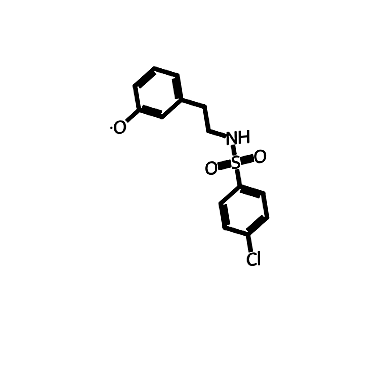 [O]c1cccc(CCNS(=O)(=O)c2ccc(Cl)cc2)c1